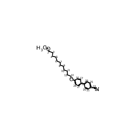 COCCCCCCCCCCCCOc1ccc(-c2ccc(C#N)cc2)cc1